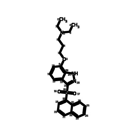 CCN(CC)CCCOc1cccc2c(S(=O)(=O)c3cccc4ccccc34)n[nH]c12